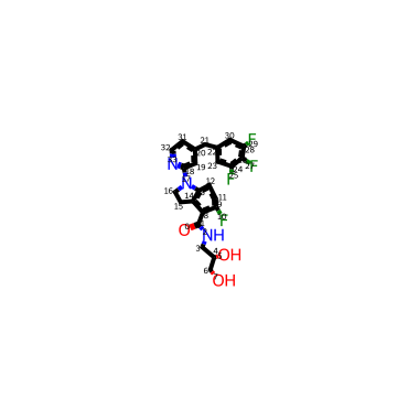 O=C(NCC(O)CO)c1c(F)ccc2c1CCN2c1cc(Cc2cc(F)c(F)c(F)c2)ccn1